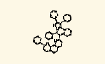 c1ccc(-c2ccc3ccc4ccc(-c5c(-c6ccccc6)n6nc(-c7ccccc7)c(-c7ccccc7)c6c6ccccc56)nc4c3n2)cc1